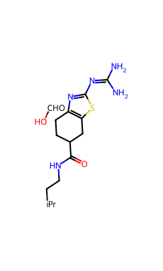 CC(C)CCNC(=O)C1CCc2nc(N=C(N)N)sc2C1.O=CO